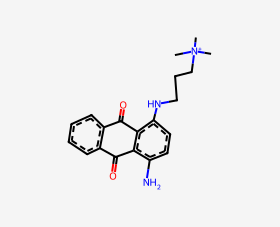 C[N+](C)(C)CCCNc1ccc(N)c2c1C(=O)c1ccccc1C2=O